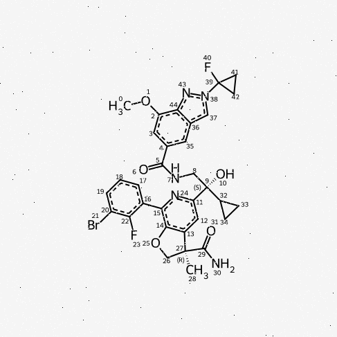 COc1cc(C(=O)NC[C@](O)(c2cc3c(c(-c4cccc(Br)c4F)n2)OC[C@]3(C)C(N)=O)C2CC2)cc2cn(C3(F)CC3)nc12